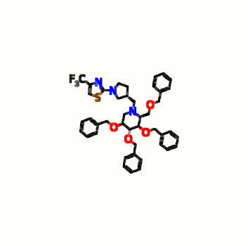 FC(F)(F)c1csc(N2CC[C@@H](CN3C[C@H](OCc4ccccc4)[C@@H](OCc4ccccc4)[C@H](OCc4ccccc4)[C@@H]3COCc3ccccc3)C2)n1